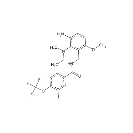 CCN(C)c1c(N)ccc(OC)c1CNC(=O)c1ccc(OC(F)(F)F)c(F)c1